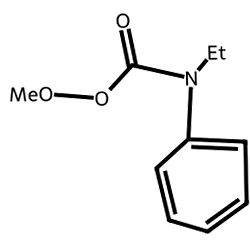 CCN(C(=O)OOC)c1ccccc1